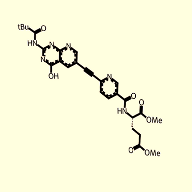 COC(=O)CC[C@H](NC(=O)c1ccc(C#Cc2cnc3nc(NC(=O)C(C)(C)C)nc(O)c3c2)nc1)C(=O)OC